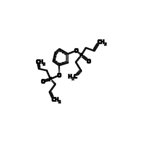 C=CCP(=O)(CC=C)Oc1cccc(OP(=O)(CC=C)CC=C)c1